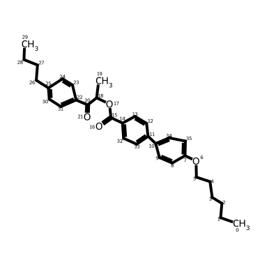 CCCCCCOc1ccc(-c2ccc(C(=O)OC(C)C(=O)c3ccc(CCCC)cc3)cc2)cc1